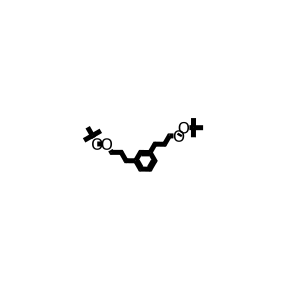 CC(C)(C)OOCCCc1cccc(CCCOOC(C)(C)C)c1